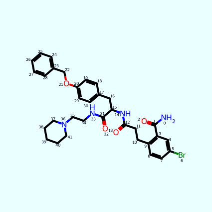 NC(=O)c1cc(Br)ccc1C[CH]C(=O)NC(Cc1ccc(OCc2ccccc2)cc1)C(=O)NCCN1CCCCC1